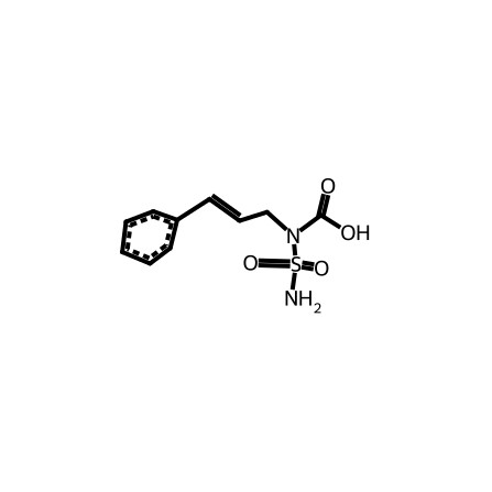 NS(=O)(=O)N(CC=Cc1ccccc1)C(=O)O